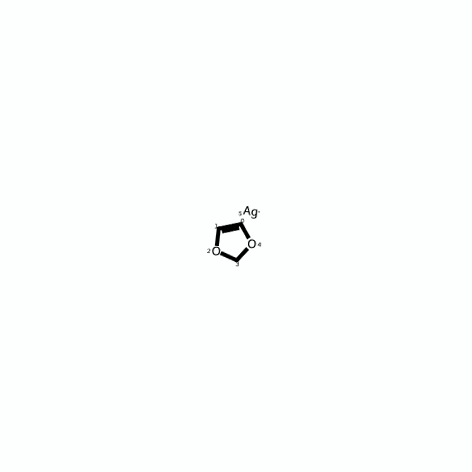 C1=COCO1.[Ag]